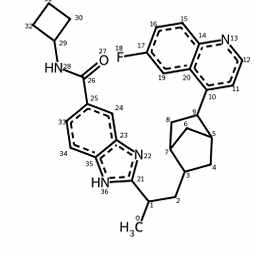 CC(CC1CC2CC1CC2c1ccnc2ccc(F)cc12)c1nc2cc(C(=O)NC3CCC3)ccc2[nH]1